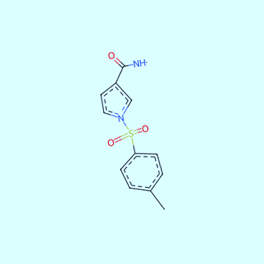 Cc1ccc(S(=O)(=O)n2ccc(C([NH])=O)c2)cc1